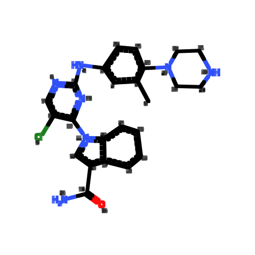 Cc1cc(Nc2ncc(Cl)c(-n3cc(C(N)=O)c4ccccc43)n2)ccc1N1CCNCC1